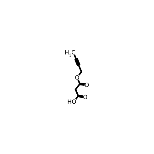 CC#CCOC(=O)CC(=O)O